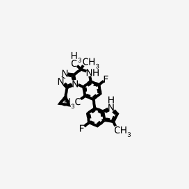 Cc1c(-c2cc(F)cc3c(C)c[nH]c23)cc(F)c2c1-n1c(C3CC3)nnc1C(C)(C)N2